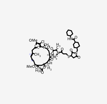 COc1cc2cc(c1Cl)N(C)C(=O)C[C@H](OC(=O)[C@@H](C)N(C)C(=O)CCSC1CC(=O)N(CC3CCC(C(=O)NC4CCCCC4)CC3)C1=O)[C@]1(C)O[C@H]1[C@H](C)[C@@H]1C[C@@](O)(NC(=O)O1)[C@H](OC)/C=C/C=C(\C)C2